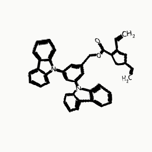 C=CC1CC(C=C)C(C(=O)OCc2cc(-n3c4ccccc4c4ccccc43)cc(-n3c4ccccc4c4ccccc43)c2)C1